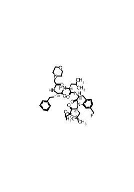 CC(C)C[C@H](NC(=O)[C@H](CCc1ccccc1)NC(=O)CN1CCOCC1)C(=O)N[C@@H](Cc1ccc(CF)cc1)C(=O)N[C@@H](CC(C)C)C(=O)[C@@]1(C)CO1